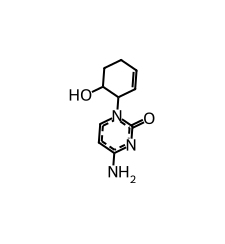 Nc1ccn(C2C=CCCC2O)c(=O)n1